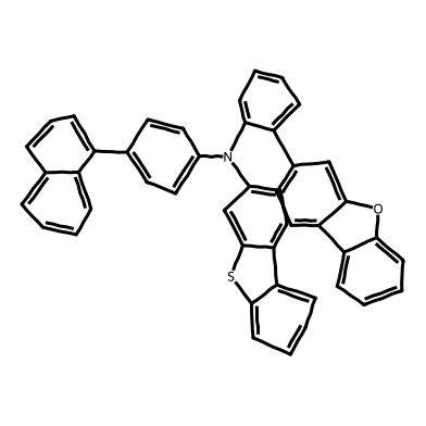 c1ccc(N(c2ccc(-c3cccc4ccccc34)cc2)c2ccc3c(c2)sc2ccccc23)c(-c2ccc3c(c2)oc2ccccc23)c1